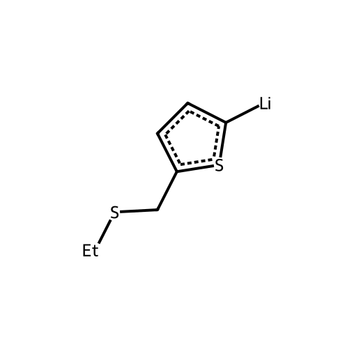 [Li][c]1ccc(CSCC)s1